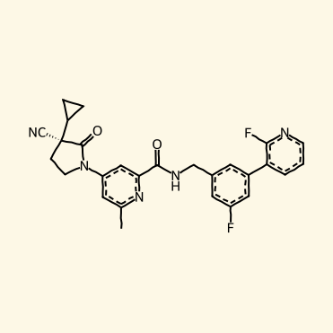 Cc1cc(N2CC[C@@](C#N)(C3CC3)C2=O)cc(C(=O)NCc2cc(F)cc(-c3cccnc3F)c2)n1